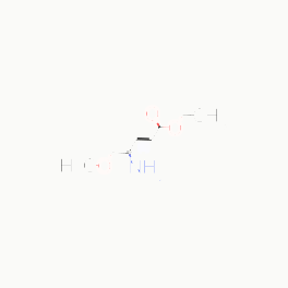 CCOC(=O)/C=C/[C@@H](N)COC